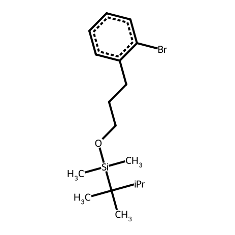 CC(C)C(C)(C)[Si](C)(C)OCCCc1ccccc1Br